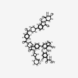 Cc1cc(F)c(Nc2nc(-c3ccc4c(c3)N(C3CC(N5CCCCC5)C3)C(=O)C43CCN(C(=O)c4ccc(C(=O)N5CCC(c6ccc7c(c6)C(=O)N(C6CCC(=O)NC6=O)C7=O)CC5)cc4)CC3)cc3ncn(C(C)C)c23)cc1C(=O)NC(C)C